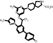 CCOC(=O)[C@@H]1CC2(CCN(c3cc(O[C@H](c4cc(-c5ccc(Cl)cc5)ccc4-n4ccc(C)n4)C(F)(F)F)nc(N)n3)CC2)CN1